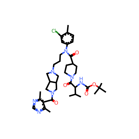 Cc1ccc(N(CCCN2CC3CN(C(=O)c4c(C)ncnc4C)CC3C2)C(=O)C2CCN(C(=O)C(NC(=O)OC(C)(C)C)C(C)C)CC2)cc1Cl